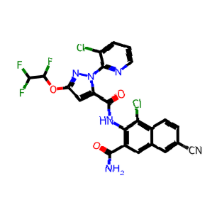 N#Cc1ccc2c(Cl)c(NC(=O)c3cc(OC(F)C(F)F)nn3-c3ncccc3Cl)c(C(N)=O)cc2c1